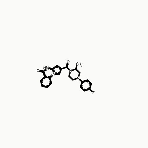 CC1CN(c2ccc(F)cc2)CCN1C(=O)c1cc2[nH]c(=O)c3ccccc3n2c1